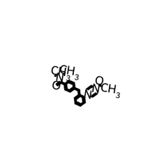 CCN(CC)C(=O)c1ccc(Cc2ccccc2N2CCN(C(C)=O)CC2)cc1